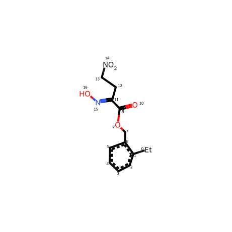 CCc1ccccc1COC(=O)C(CC[N+](=O)[O-])=NO